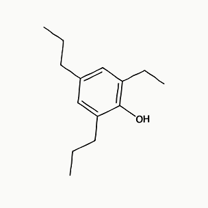 CCCc1cc(CC)c(O)c(CCC)c1